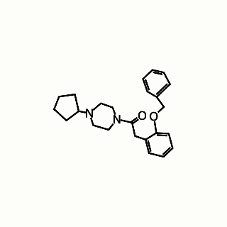 O=C(Cc1ccccc1OCc1ccccc1)N1CCN(C2CCCC2)CC1